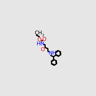 C=CCOC(=O)NCC(=O)CCNCC(c1ccccc1)c1ccccc1